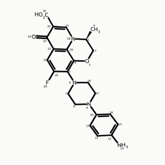 C[C@H]1COc2c(N3CCN(c4ccc(N)cc4)CC3)c(F)cc3c(=O)c(C(=O)O)cn1c23